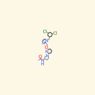 CC(=O)NC1CCN(c2cccc(OCc3nccn3Cc3cc(Cl)cc(Cl)c3)n2)C1